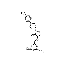 COCC(COC1CCN(C2CCN(c3ncc(C(F)(F)F)cn3)CC2)C1=O)OC(N)=O